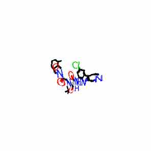 CC1(C)CN(CC(=O)N2CC3C4CCC(C)(O4)C3C2)[C@H](C(=O)Nc2cc(Cl)cc3c2[nH]c2cnccc23)CO1